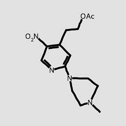 CC(=O)OCCc1cc(N2CCN(C)CC2)ncc1[N+](=O)[O-]